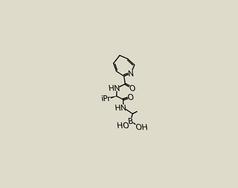 CC(NC(=O)[C@H](NC(=O)C1=NC=CCC=C1)C(C)C)B(O)O